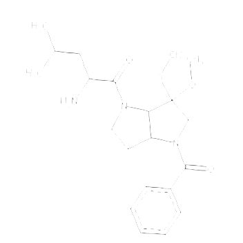 COC1(OC)CN(C(=O)c2ccccc2)C2CCN(C(=O)C(N)CC(C)C)C21